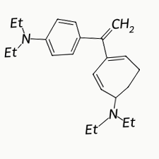 C=C(C1=CCCC(N(CC)CC)C=C1)c1ccc(N(CC)CC)cc1